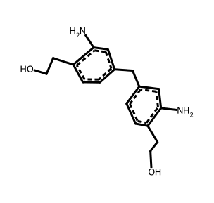 Nc1cc(Cc2ccc(CCO)c(N)c2)ccc1CCO